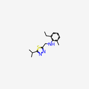 CCc1cccc(C)c1NCc1nnc(C(C)C)s1